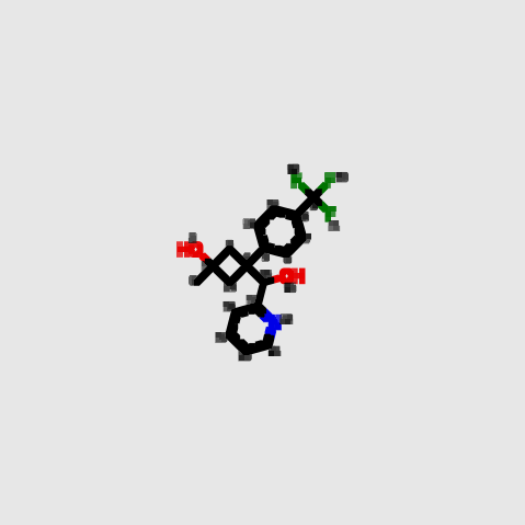 CC1(O)CC(c2ccc(C(F)(F)F)cc2)(C(O)c2ccccn2)C1